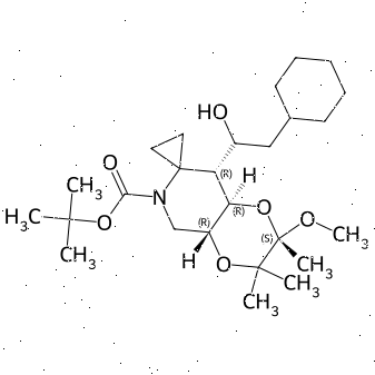 CO[C@@]1(C)O[C@@H]2[C@@H](C(O)CC3CCCCC3)C3(CC3)N(C(=O)OC(C)(C)C)C[C@H]2OC1(C)C